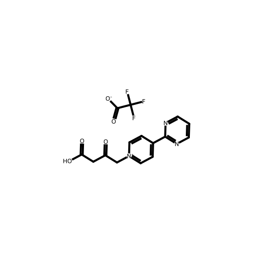 O=C(O)CC(=O)C[n+]1ccc(-c2ncccn2)cc1.O=C([O-])C(F)(F)F